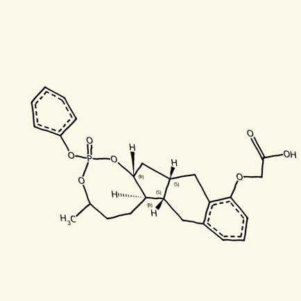 CC1CC[C@@H]2[C@H]3Cc4cccc(OCC(=O)O)c4C[C@H]3C[C@H]2OP(=O)(Oc2ccccc2)O1